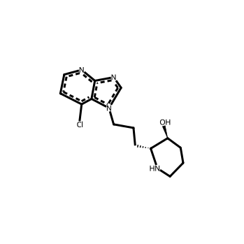 O[C@H]1CCCN[C@@H]1CCCn1cnc2nccc(Cl)c21